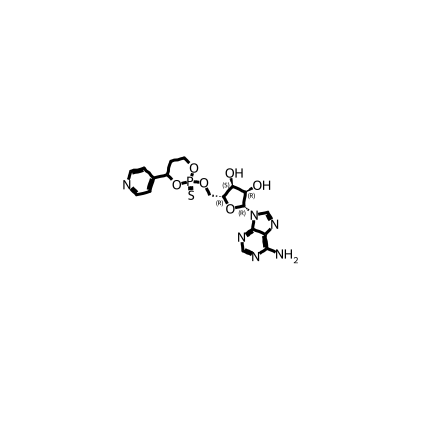 Nc1ncnc2c1ncn2[C@@H]1O[C@H](COP2(=S)OCCC(c3ccncc3)O2)[C@@H](O)[C@H]1O